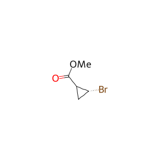 COC(=O)C1C[C@H]1Br